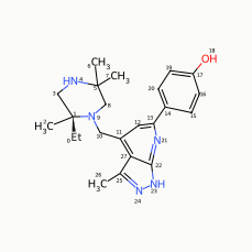 CC[C@@]1(C)CNC(C)(C)CN1Cc1cc(-c2ccc(O)cc2)nc2[nH]nc(C)c12